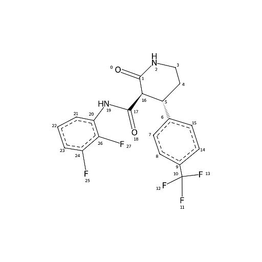 O=C1NCC[C@H](c2ccc(C(F)(F)F)cc2)[C@H]1C(=O)Nc1cccc(F)c1F